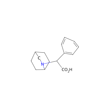 O=C(O)C(c1ccccc1)N1CC2CCC1CC2